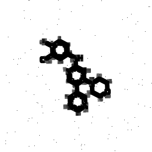 Fc1ccc(Nc2ncc(-c3cncnc3)c(N3CCOCC3)n2)cc1Cl